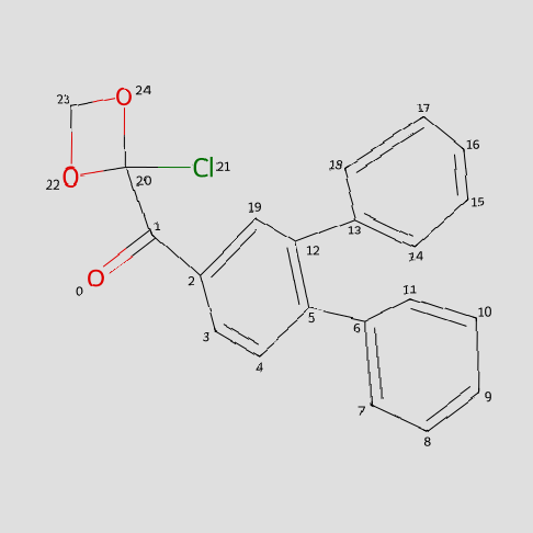 O=C(c1ccc(-c2ccccc2)c(-c2ccccc2)c1)C1(Cl)OCO1